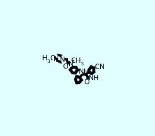 CN1CCN(CC(=O)N(C)c2cccc(NC(=C3C(=O)Nc4cc(C#N)ccc43)c3ccccc3)c2)CC1